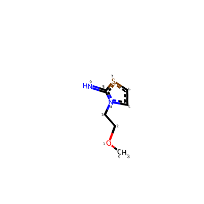 COCCn1ccsc1=N